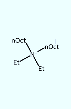 CCCCCCCC[N+](CC)(CC)CCCCCCCC.[I-]